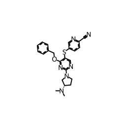 CN(C)[C@H]1CCN(c2ncc(Sc3ccc(C#N)nc3)c(OCc3ccccc3)n2)C1